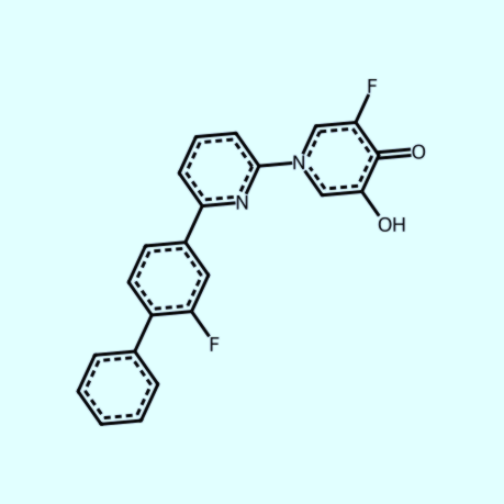 O=c1c(O)cn(-c2cccc(-c3ccc(-c4ccccc4)c(F)c3)n2)cc1F